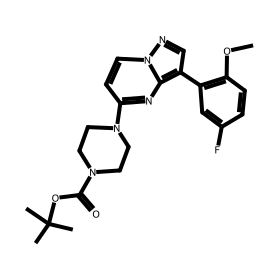 COc1ccc(F)cc1-c1cnn2ccc(N3CCN(C(=O)OC(C)(C)C)CC3)nc12